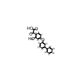 O=C(O)C(=O)c1ccc(Oc2cccc(-c3ccccc3)c2)cc1O